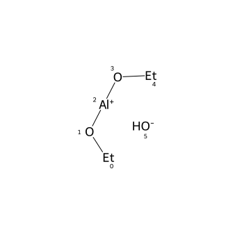 CC[O][Al+][O]CC.[OH-]